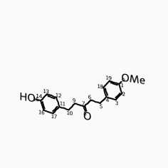 COc1ccc(CCC(=O)CCc2ccc(O)cc2)cc1